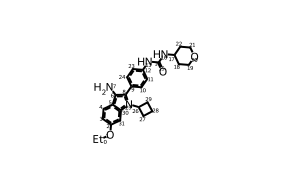 CCOc1ccc2c(N)c(-c3ccc(NC(=O)NC4CCOCC4)cc3)n(C3CCC3)c2c1